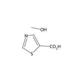 CO.O=C(O)c1cncs1